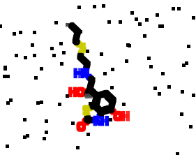 [CH2]CCSCCNC[C@@H](O)c1ccc(O)c2[nH]c(=O)sc12